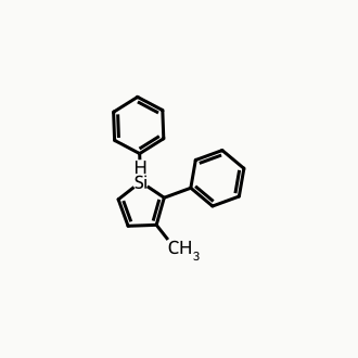 CC1=C(c2ccccc2)[SiH](c2ccccc2)C=C1